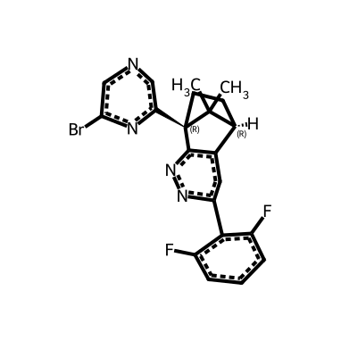 CC1(C)[C@H]2CC[C@@]1(c1cncc(Br)n1)c1nnc(-c3c(F)cccc3F)cc12